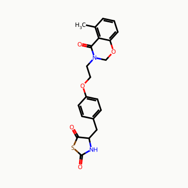 Cc1cccc2c1C(=O)N(CCOc1ccc(CC3NC(=O)SC3=O)cc1)CO2